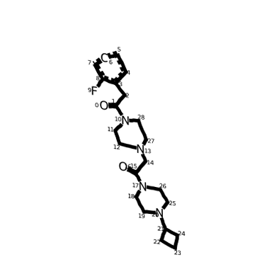 O=C(Cc1ccccc1F)N1CCN(CC(=O)N2CCN(C3CCC3)CC2)CC1